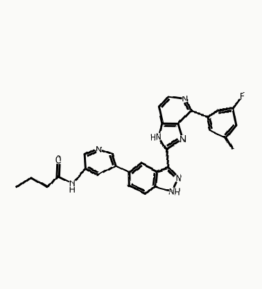 CCCC(=O)Nc1cncc(-c2ccc3[nH]nc(-c4nc5c(-c6cc(C)cc(F)c6)nccc5[nH]4)c3c2)c1